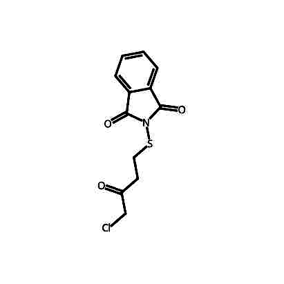 O=C(CCl)CCSN1C(=O)c2ccccc2C1=O